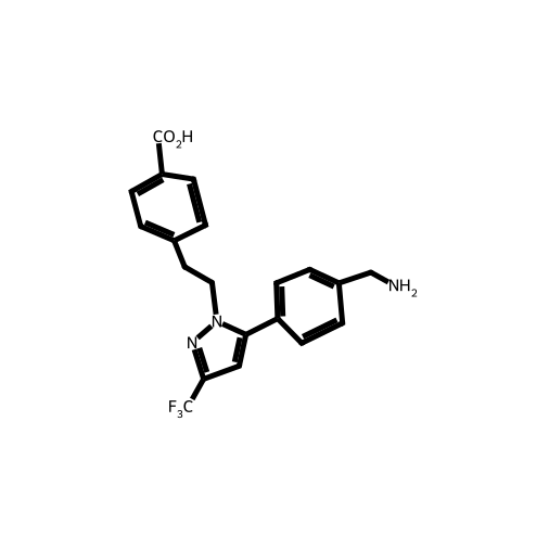 NCc1ccc(-c2cc(C(F)(F)F)nn2CCc2ccc(C(=O)O)cc2)cc1